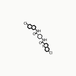 O=C(N[C@H]1CC[C@H](C(=O)Nc2ccc3cc(Cl)ccc3c2)CC1)c1ccc2cc(Cl)ccc2n1